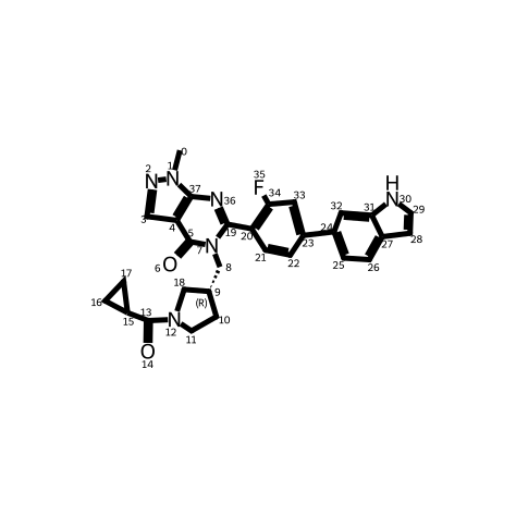 Cn1ncc2c(=O)n(C[C@@H]3CCN(C(=O)C4CC4)C3)c(-c3ccc(-c4ccc5cc[nH]c5c4)cc3F)nc21